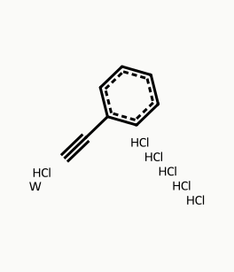 C#Cc1ccccc1.Cl.Cl.Cl.Cl.Cl.Cl.[W]